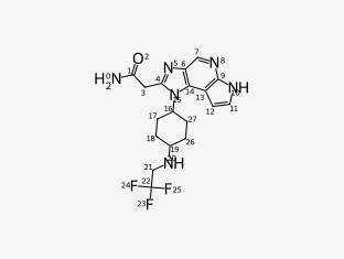 NC(=O)Cc1nc2cnc3[nH]ccc3c2n1C1CCC(NCC(F)(F)F)CC1